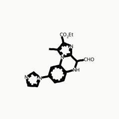 CCOC(=O)c1nc2n(c1C)-c1cc(-n3ccnc3)ccc1NC2C=O